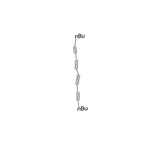 CCCCC#CC#CC#CC#CCCCC